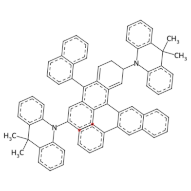 CC1(C)c2ccccc2N(c2ccc3c(-c4cc5ccccc5cc4-c4ccccc4)c4c(c(-c5cccc6ccccc56)c3c2)=CCC(N2c3ccccc3C(C)(C)c3ccccc32)C=4)c2ccccc21